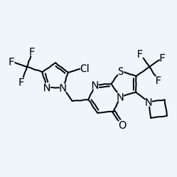 O=c1cc(Cn2nc(C(F)(F)F)cc2Cl)nc2sc(C(F)(F)F)c(N3CCC3)n12